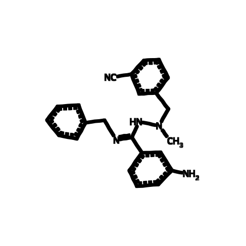 CN(Cc1cccc(C#N)c1)N/C(=N\Cc1ccccc1)c1cccc(N)c1